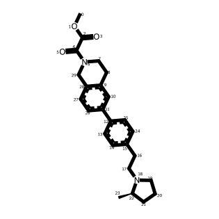 COC(=O)C(=O)N1CCc2cc(-c3ccc(CCN4CCC[C@H]4C)cc3)ccc2C1